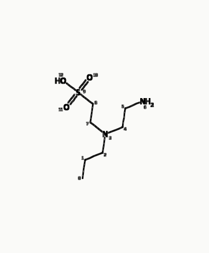 CCCN(CCN)CCS(=O)(=O)O